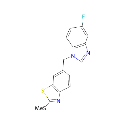 CSc1nc2ccc(Cn3cnc4cc(F)ccc43)cc2s1